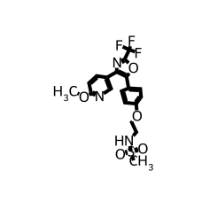 COc1ccc(-c2nc(C(F)(F)F)oc2-c2ccc(OCCNS(C)(=O)=O)cc2)cn1